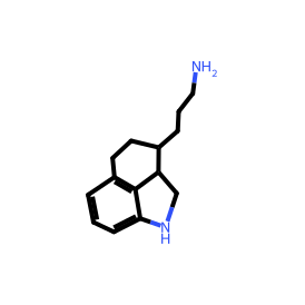 NCCCC1CCc2cccc3c2C1CN3